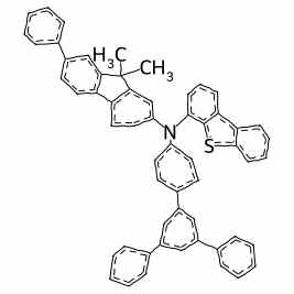 CC1(C)c2cc(-c3ccccc3)ccc2-c2ccc(N(c3ccc(-c4cc(-c5ccccc5)cc(-c5ccccc5)c4)cc3)c3cccc4c3sc3ccccc34)cc21